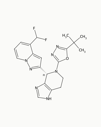 CC(C)(C)c1nnc(N2CCc3[nH]cnc3[C@@H]2c2cc3c(C(F)F)cccn3n2)o1